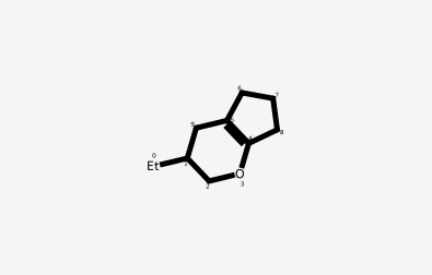 CCC1COC2=C(CCC2)C1